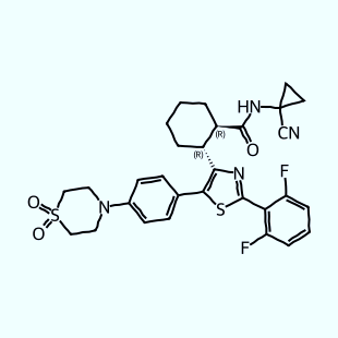 N#CC1(NC(=O)[C@@H]2CCCC[C@H]2c2nc(-c3c(F)cccc3F)sc2-c2ccc(N3CCS(=O)(=O)CC3)cc2)CC1